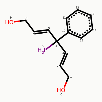 OCC=CC(P)(C=CCO)c1ccccc1